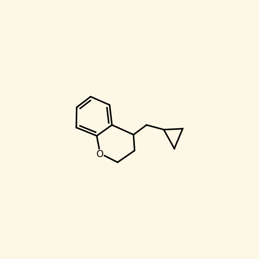 c1ccc2c(c1)OCCC2CC1CC1